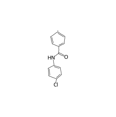 O=C(Nc1ccc(Cl)cc1)c1cc[c]cc1